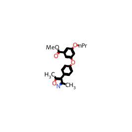 CCCOc1cc(Oc2ccc(-c3c(C)noc3C)cc2)cc(C(=O)OC)c1